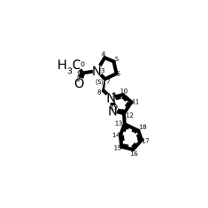 CC(=O)N1CCC[C@H]1Cn1ccc(-c2ccccc2)n1